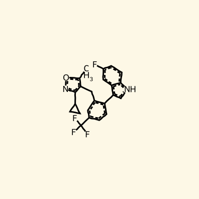 Cc1onc(C2CC2)c1Cc1cc(C(F)(F)F)ccc1-c1c[nH]c2ccc(F)cc12